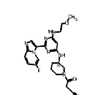 COCCNc1cc(N[C@@H]2CCCN(C(=O)CC#N)C2)nc(-c2cnc3ccc(F)cn23)n1